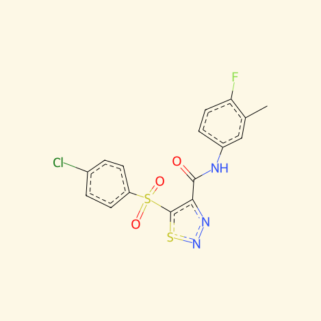 Cc1cc(NC(=O)c2nnsc2S(=O)(=O)c2ccc(Cl)cc2)ccc1F